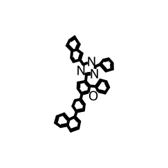 C1=C(c2cccc3ccccc23)CCC(c2ccc(-c3nc(-c4ccccc4)nc(-c4ccc5ccccc5c4)n3)c3c2oc2ccccc23)=C1